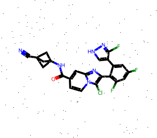 N#CC12CC(NC(=O)c3ccn4c(Cl)c(-c5c(F)cc(F)cc5-c5c[nH]nc5F)nc4c3)(C1)C2